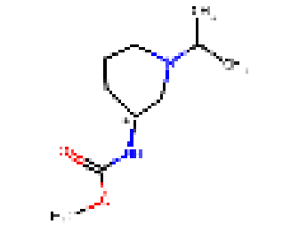 COC(=O)N[C@H]1CCCN(C(C)C)C1